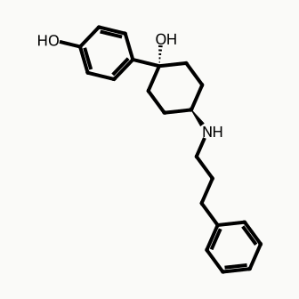 Oc1ccc([C@]2(O)CC[C@H](NCCCc3ccccc3)CC2)cc1